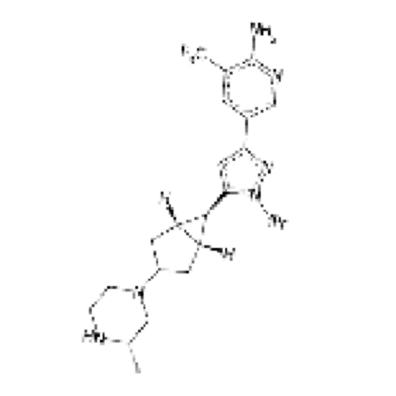 CC(C)n1nc(-c2cnc(N)c(C(F)(F)F)c2)cc1[C@H]1[C@@H]2CC(N3CCN[C@@H](C)C3)C[C@@H]21